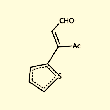 CC(=O)C(=C[C]=O)c1cccs1